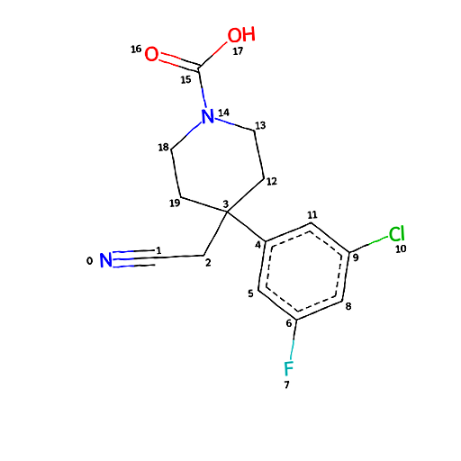 N#CCC1(c2cc(F)cc(Cl)c2)CCN(C(=O)O)CC1